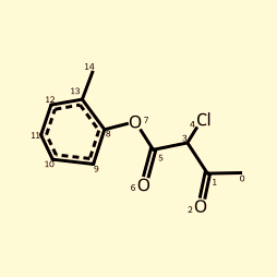 CC(=O)C(Cl)C(=O)Oc1ccccc1C